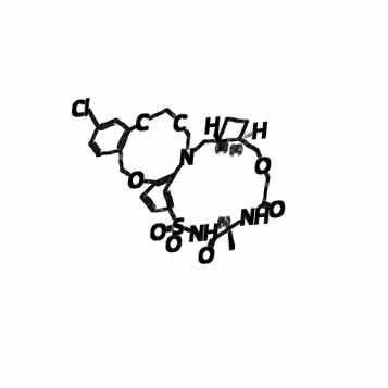 C[C@@H]1NC(=O)COC[C@@H]2CC[C@H]2CN2CCCCc3cc(Cl)ccc3COc3ccc(cc32)S(=O)(=O)NC1=O